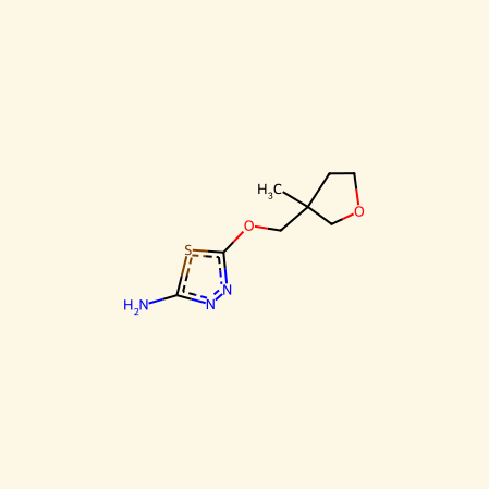 CC1(COc2nnc(N)s2)CCOC1